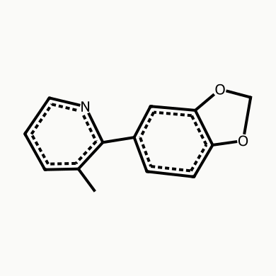 Cc1cccnc1-c1ccc2c(c1)OCO2